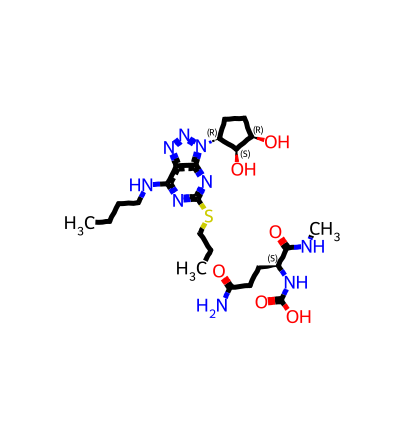 CCCCNc1nc(SCCC)nc2c1nnn2[C@@H]1CC[C@@H](O)[C@H]1O.CNC(=O)[C@H](CCC(N)=O)NC(=O)O